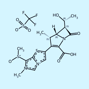 C[C@@H](O)[C@H]1C(=O)N2C(C(=O)O)=C(c3c[n+]4cn(C)c([S+](C)[O-])c4s3)[C@H](C)[C@H]12.O=S(=O)([O-])C(F)(F)F